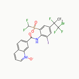 O=C(Nc1c(I)cc(C(F)(C(F)(F)F)C(F)(F)Br)cc1S(=O)(=O)C(F)F)c1ccc2ccc[n+]([O-])c2c1